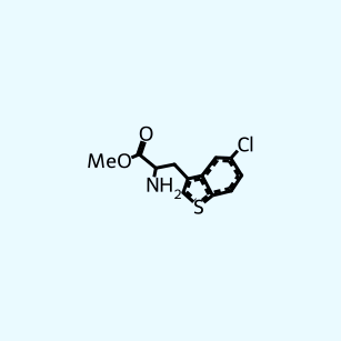 COC(=O)C(N)Cc1csc2ccc(Cl)cc12